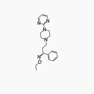 CCO/N=C(/CCN1CCN(c2ncccn2)CC1)c1ccccc1